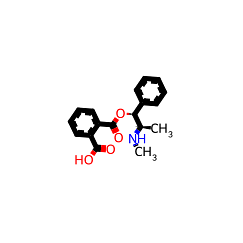 CN[C@H](C)[C@H](OC(=O)c1ccccc1C(=O)O)c1ccccc1